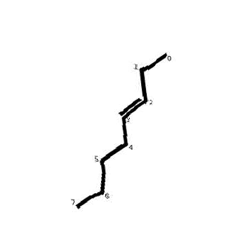 CC/[C]=C/CCCC